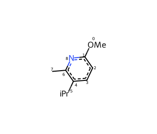 COc1ccc(C(C)C)c(C)n1